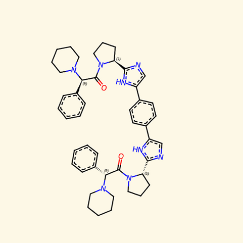 O=C([C@@H](c1ccccc1)N1CCCCC1)N1CCC[C@H]1c1ncc(-c2ccc(-c3cnc([C@@H]4CCCN4C(=O)[C@@H](c4ccccc4)N4CCCCC4)[nH]3)cc2)[nH]1